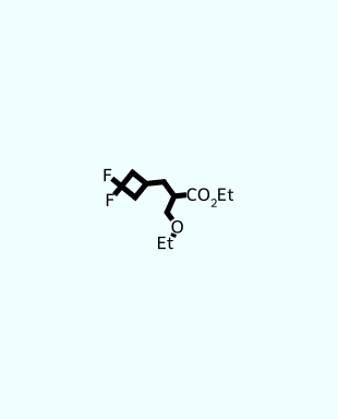 CCOCC(CC1CC(F)(F)C1)C(=O)OCC